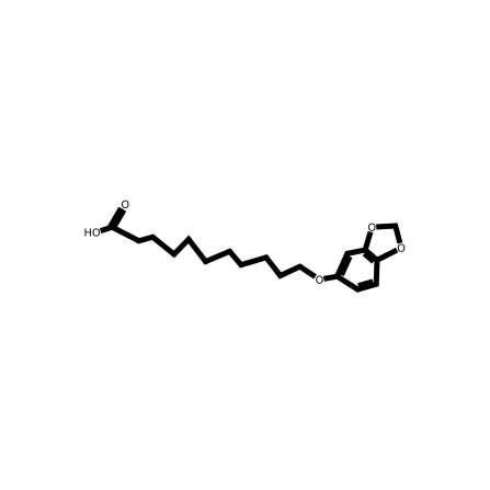 O=C(O)CCCCCCCCCCOc1ccc2c(c1)OCO2